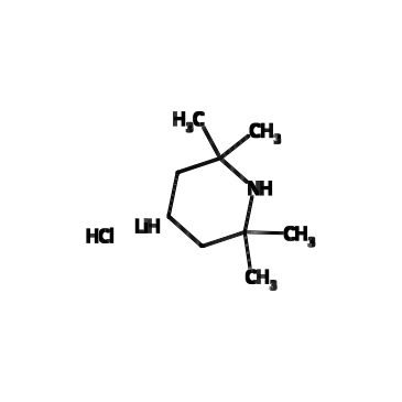 CC1(C)CCCC(C)(C)N1.Cl.[LiH]